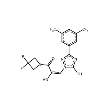 O=C(/C(O)=C\n1nc(-c2cc(C(F)(F)F)cc(C(F)(F)F)c2)nc1O)N1CC(F)(F)C1